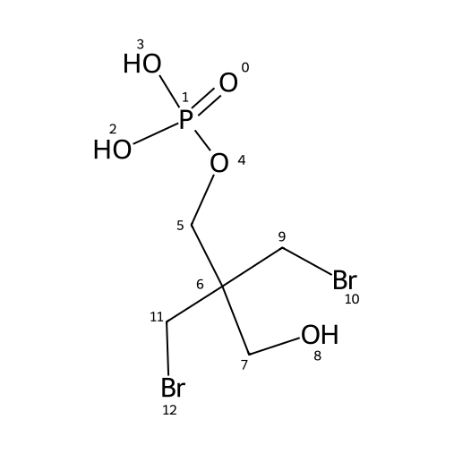 O=P(O)(O)OCC(CO)(CBr)CBr